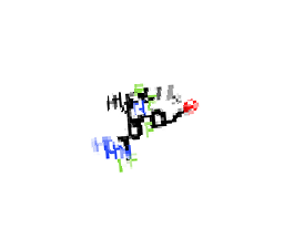 CC1Cc2cc(/C(C=N)=C/NC(F)F)ccc2[C@H](c2c(F)cc(/C=C/C=O)cc2F)N1CC(C)(C)F